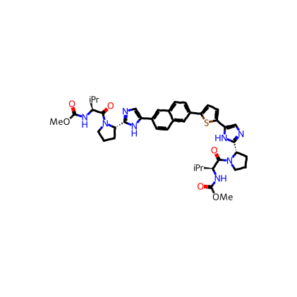 COC(=O)N[C@H](C(=O)N1CCC[C@H]1c1ncc(-c2ccc3cc(-c4ccc(-c5cnc([C@@H]6CCCN6C(=O)[C@@H](NC(=O)OC)C(C)C)[nH]5)s4)ccc3c2)[nH]1)C(C)C